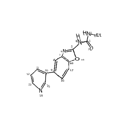 CCNC(=O)Nc1nc2cc(-c3cccnc3)ccc2o1